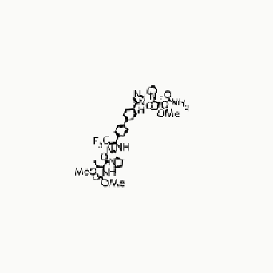 COC(=O)N[C@H](C(=O)N1CCC[C@H]1c1nc(C(F)(F)F)c(-c2ccc(-c3ccc(-c4cnc([C@@H]5CCCN5C(=O)[C@@](C)(OC(N)=O)[C@@H](C)OC)[nH]4)cc3)cc2)[nH]1)[C@@H](C)OC